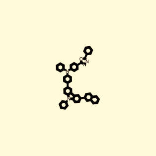 c1ccc(-c2nnc(-c3ccc(N(c4ccccc4)c4ccc(-c5ccc6c(c5)c5cc(-c7ccc8ccccc8c7)ccc5n6-c5ccccc5)cc4)cc3)o2)cc1